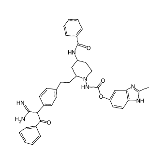 Cc1nc2cc(OC(=O)NN3CCC(NC(=O)c4ccccc4)CC3CCc3ccc(C(C(=N)N)C(=O)c4ccccc4)cc3)ccc2[nH]1